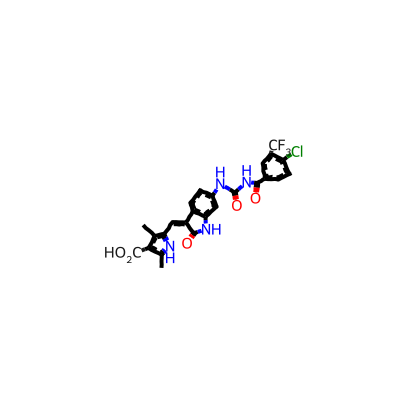 Cc1[nH]c(C=C2C(=O)Nc3cc(NC(=O)NC(=O)c4ccc(Cl)c(C(F)(F)F)c4)ccc32)c(C)c1C(=O)O